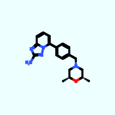 C[C@@H]1CN(Cc2ccc(-c3cccc4nc(N)nn34)cc2)C[C@H](C)O1